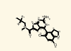 CN(CC(C)(F)F)C(=O)c1cc2c(-c3c(Cl)cc(Cl)c4c3CCO4)nc(N)nc2s1